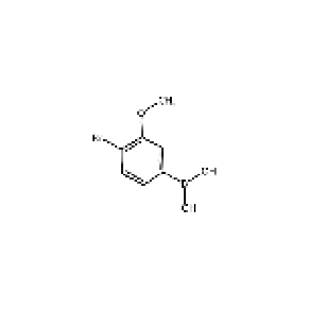 COc1cc(B(O)O)ccc1Br